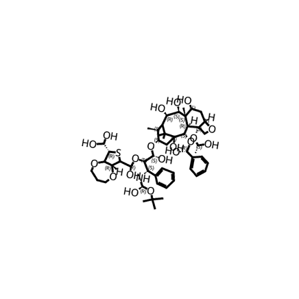 C[C@@H](O)O[C@@]12CO[C@@H]1C[C@H](O)[C@@]1(C)[C@H](O)[C@H](O)C3[C@H](C)[C@@H](O[C@H](O)[C@H](O[C@@H](O)C4S[C@@H](C(O)O)C5OCCCO[C@H]54)[C@@H](N[C@H](O)OC(C)(C)C)c4ccccc4)C[C@@](O)([C@@H](O[C@@H](O)c4ccccc4)[C@H]21)C3(C)C